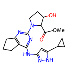 COC(=O)C1C(O)CCN1c1nc2c(c(Nc3cc(C4CC4)[nH]n3)n1)CCC2